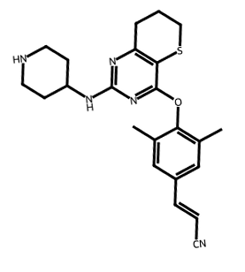 Cc1cc(/C=C/C#N)cc(C)c1Oc1nc(NC2CCNCC2)nc2c1SCCC2